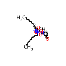 CC=CC=CC=CC=C=C=CC(=O)NC(C)(NC(=O)C=C=C=CC=CC=CC=CC)OC(=O)C1=CC=CC(=C=O)C1